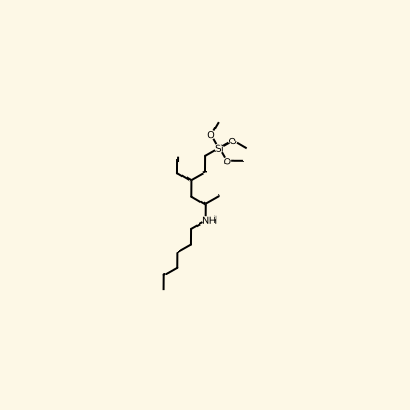 CCCCCCNC(C)CC(CC)CC[Si](OC)(OC)OC